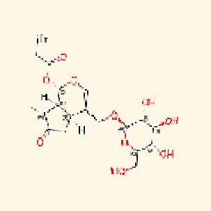 CC(C)CC(=O)O[C@@H]1OC=C(CO[C@@H]2O[C@H](CO)[C@@H](O)[C@H](O)[C@H]2O)[C@H]2CC(=O)[C@H](C)[C@@H]12